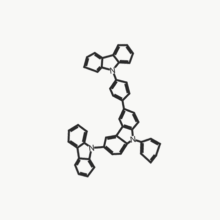 c1ccc(-n2c3ccc(-c4ccc(-n5c6ccccc6c6ccccc65)cc4)cc3c3cc(-n4c5ccccc5c5ccccc54)ccc32)cc1